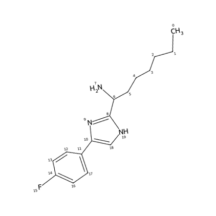 CCCCCCC(N)c1nc(-c2ccc(F)cc2)c[nH]1